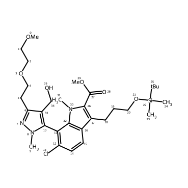 COCCOCCc1nn(C)c(-c2c(Cl)ccc3c(CCCO[Si](C)(C)C(C)(C)C)c(C(=O)OC)n(C)c23)c1CO